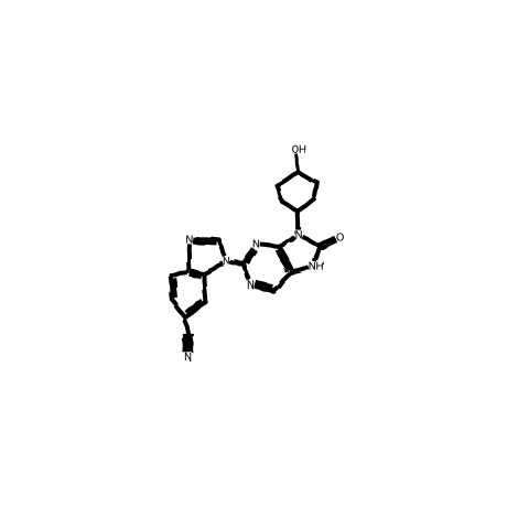 N#Cc1ccc2ncn(-c3ncc4[nH]c(=O)n(C5CCC(O)CC5)c4n3)c2c1